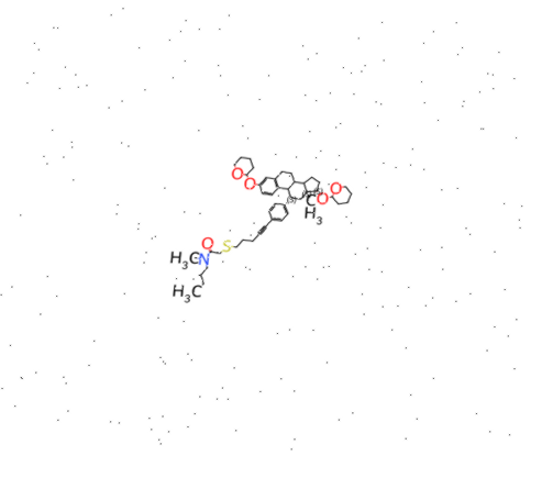 CCCCN(C)C(=O)CSCCCC#Cc1ccc([C@H]2C[C@@]3(C)C(CC[C@@H]3OC3CCCCO3)C3CCc4cc(OC5CCCCO5)ccc4C32)cc1